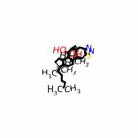 CC(C)CCC[C@@H](C)[C@H]1CC[C@H]2[C@@H]3[C@@H](O)[C@@]4(O)C[C@@]45Cc4nnsc4C[C@]5(C)[C@H]3CC[C@]12C